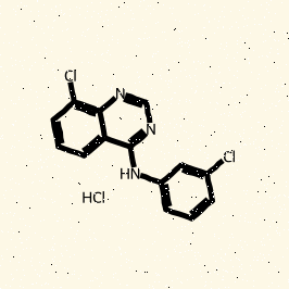 Cl.Clc1cccc(Nc2ncnc3c(Cl)cccc23)c1